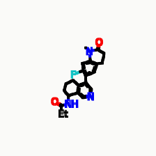 CCC(=O)NC1CCCc2c(-c3cc4c(cc3F)N(C)C(=O)CC4)cncc21